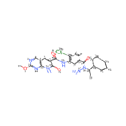 COc1ncc2cc(C(=O)Nc3cc(C(=O)N(N)C(C)C4CCCCC4)ccc3Cl)c(=O)[nH]c2n1